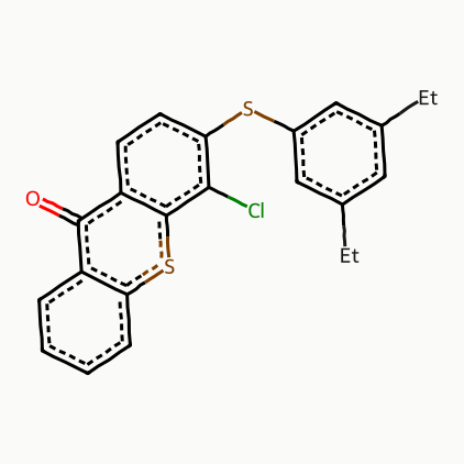 CCc1cc(CC)cc(Sc2ccc3c(=O)c4ccccc4sc3c2Cl)c1